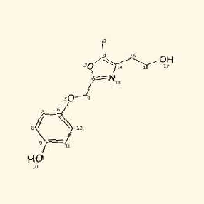 Cc1oc(COc2ccc(O)cc2)nc1CCO